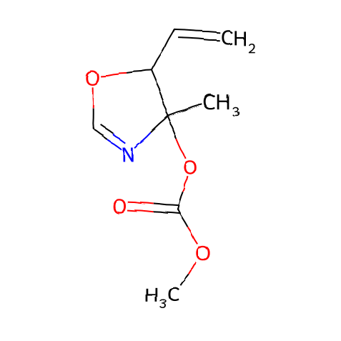 C=CC1OC=NC1(C)OC(=O)OC